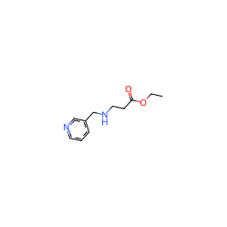 CCOC(=O)CCNCc1cccnc1